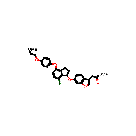 COCCOc1ccc(Oc2ccc(F)c3c2CC[C@H]3Oc2ccc3c(c2)OCC3CC(=O)OC)cc1